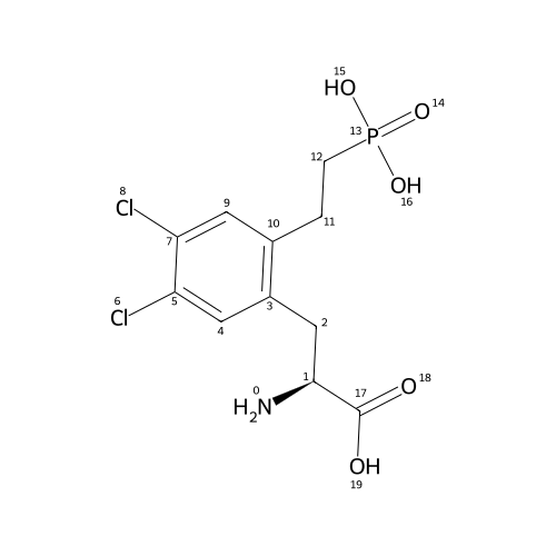 N[C@@H](Cc1cc(Cl)c(Cl)cc1CCP(=O)(O)O)C(=O)O